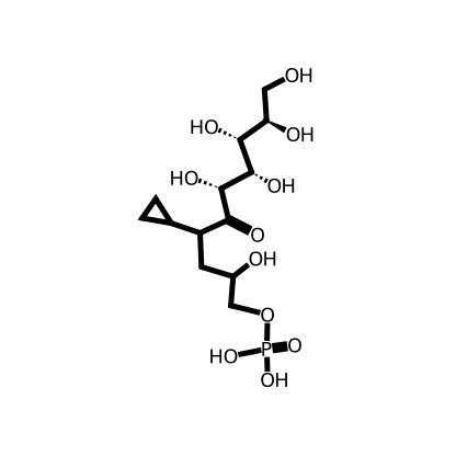 O=C(C(CC(O)COP(=O)(O)O)C1CC1)[C@H](O)[C@@H](O)[C@H](O)[C@H](O)CO